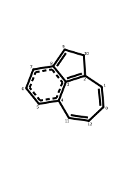 C1=CC2=c3c(cccc3=CC2)C=C1